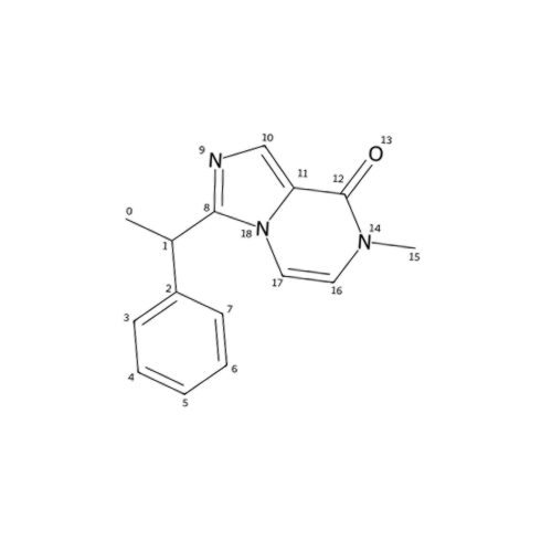 CC(c1ccccc1)c1ncc2c(=O)n(C)ccn12